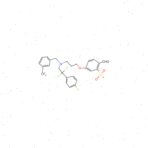 CS(=O)(=O)c1cc(OCCCN(Cc2cccc(C(F)(F)F)c2)CC(F)(F)c2ccc(F)cc2)ccc1C=O